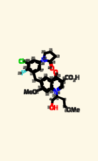 COCC[C@@H](CO)n1cc(C(=O)O)c(=O)c2cc(Cc3cc(N4CCCC4=O)cc(Cl)c3F)c(OC)cc21